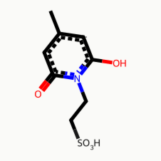 Cc1[c]c(O)n(CCS(=O)(=O)O)c(=O)c1